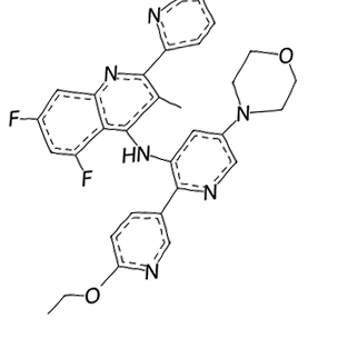 CCOc1ccc(-c2ncc(N3CCOCC3)cc2Nc2c(C)c(-c3ccccn3)nc3cc(F)cc(F)c23)cn1